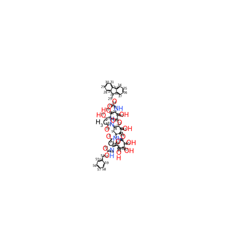 CC(=O)NC1C[C@@H](NC(C)=O)C(O[C@H]2OC(CO)[C@@H](O)C(NC(=O)OCC3c4ccccc4-c4ccccc43)[C@H]2O)[C@@H](O)[C@@H]1O[C@H]1OC(CNC(=O)OCc2ccccc2)[C@@H](O)[C@H](O)C1O